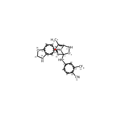 CC1=C2NOC(Nc3ccc(C#N)c(C(F)(F)F)c3)(N=C1)N2c1ccc2c(c1)NCO2